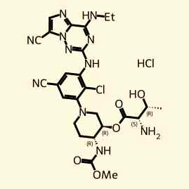 CCNc1nc(Nc2cc(C#N)cc(N3CC[C@@H](NC(=O)OC)[C@H](OC(=O)[C@@H](N)[C@@H](C)O)C3)c2Cl)nn2c(C#N)cnc12.Cl